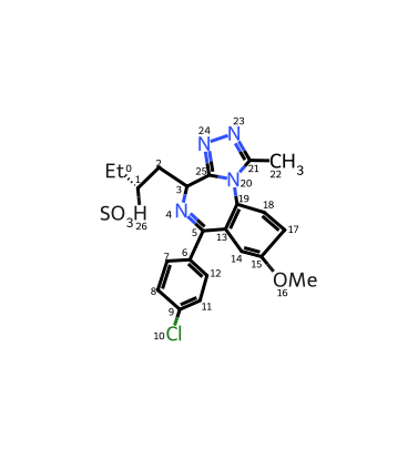 CC[C@H](CC1N=C(c2ccc(Cl)cc2)c2cc(OC)ccc2-n2c(C)nnc21)S(=O)(=O)O